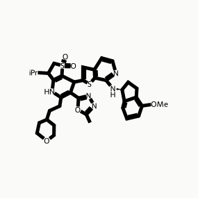 COc1cccc2c1CC[C@H]2Nc1nccc2cc(C3C(c4nnc(C)o4)=C(CCC4CCOCC4)NC4=C3S(=O)(=O)CC4C(C)C)sc12